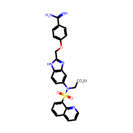 CCOC(=O)CN(c1ccc2[nH]c(COc3ccc(C(=N)N)cc3)nc2c1)S(=O)(=O)c1cccc2cccnc12